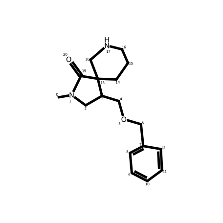 CN1CC(COCc2ccccc2)C2(CCCNC2)C1=O